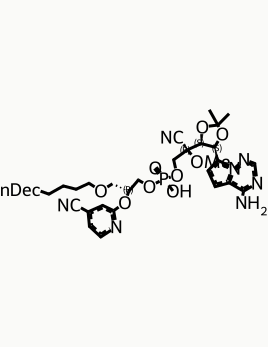 CCCCCCCCCCCCCCOC[C@H](COP(=O)(O)OC[C@@](C#N)(OC)[C@H]1OC(C)(C)O[C@H]1c1ccc2c(N)ncnn12)Oc1cc(C#N)ccn1